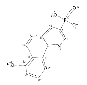 O=P(O)(O)c1cnc2c(ccc3c(O)ccnc32)c1